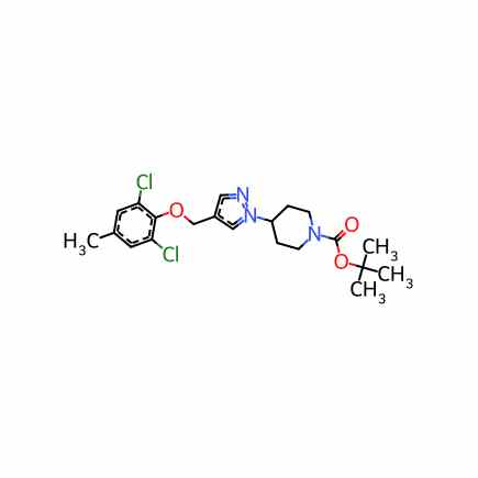 Cc1cc(Cl)c(OCc2cnn(C3CCN(C(=O)OC(C)(C)C)CC3)c2)c(Cl)c1